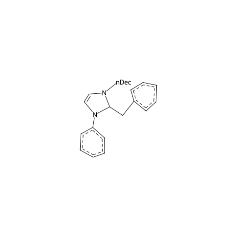 CCCCCCCCCCN1C=CN(c2ccccc2)C1Cc1ccccc1